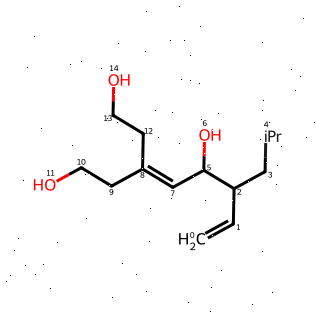 C=CC(CC(C)C)C(O)C=C(CCO)CCO